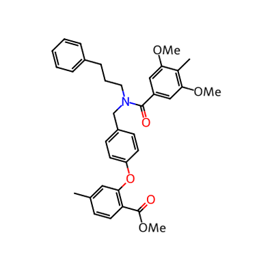 COC(=O)c1ccc(C)cc1Oc1ccc(CN(CCCc2ccccc2)C(=O)c2cc(OC)c(C)c(OC)c2)cc1